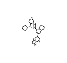 c1ccc(C(CNc2cc(-c3cnc4nccn4c3)cc3ccccc23)c2ccncc2)cc1